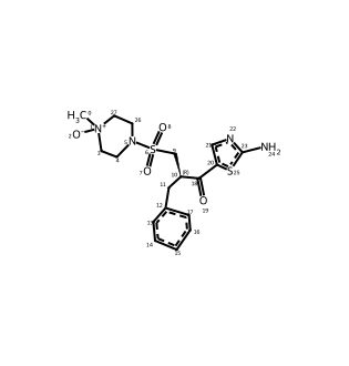 C[N+]1([O-])CCN(S(=O)(=O)C[C@H](Cc2ccccc2)C(=O)c2[c]nc(N)s2)CC1